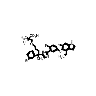 C=Cc1c(Oc2ccc(F)c(-c3ncc(C(C)(CCCOCC(C)(C)C(=O)O)c4cccc(Br)c4)[nH]3)c2)c(F)cc2[nH]ccc12